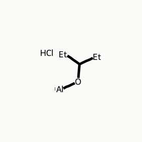 CCC(CC)[O][Al].Cl